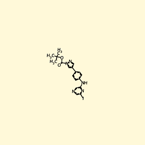 CC(C)(C)OC(=O)n1cc(-c2ccc(Nc3cncc(I)n3)cc2)cn1